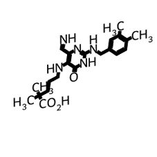 Cc1ccc(CNc2nc(C=N)c(NCCCC(C)(C)C(=O)O)c(=O)[nH]2)cc1C